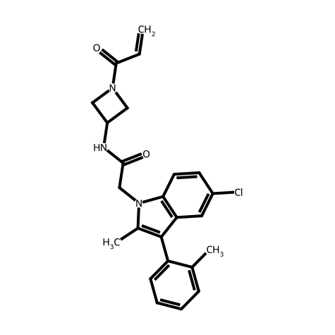 C=CC(=O)N1CC(NC(=O)Cn2c(C)c(-c3ccccc3C)c3cc(Cl)ccc32)C1